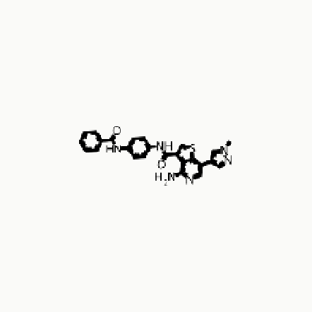 Cn1cc(-c2cnc(N)c3c(C(=O)Nc4ccc(NC(=O)c5ccccc5)cc4)csc23)cn1